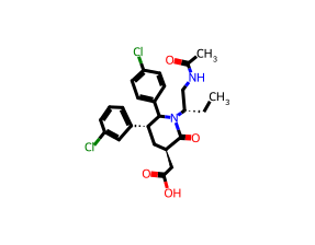 CC[C@@H](CNC(C)=O)N1C(=O)[C@@H](CC(=O)O)C[C@H](c2cccc(Cl)c2)C1c1ccc(Cl)cc1